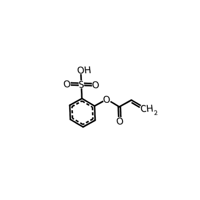 C=CC(=O)Oc1ccccc1S(=O)(=O)O